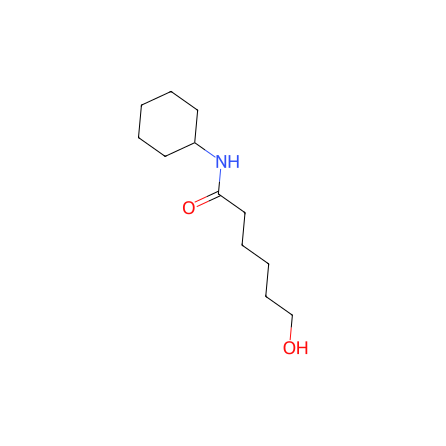 O=C(CCCCCO)NC1CCCCC1